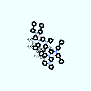 Cc1cc2c3c(c1)N(c1ccc4c(c1)C(C)(Cc1ccc(N(c5ccccc5)c5ccc6c(c5)N(c5ccc7c(c5)C(C)(C)CCC7(C)C)c5cc(C)cc7c5B6c5ccc(-c6ccccc6)cc5N7c5cccc(-c6ccccc6)c5)cc1)CCC4(C)C)c1cc(N(c4ccccc4)c4ccccc4)ccc1B3c1cc(-c3ccccc3)ccc1N2c1ccc(-c2ccccc2)cc1